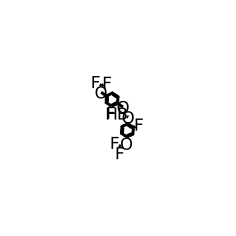 Fc1cc(OC(F)F)ccc1OBOc1ccc(OC(F)F)cc1F